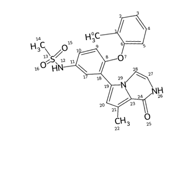 Cc1ccccc1Oc1ccc(NS(C)(=O)=O)cc1-c1cc(C)c2c(=O)[nH]ccn12